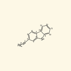 C#Cc1ccc2c(c1)sc1ccccc12